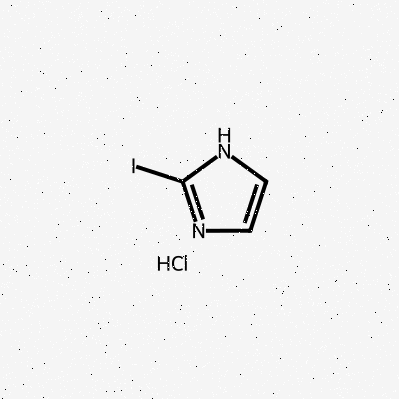 Cl.Ic1ncc[nH]1